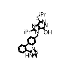 CC(C)Sc1nnc(O)c2c1nc(C(C)C)n2Cc1ccc(-c2ccccc2-c2nnn[nH]2)cc1